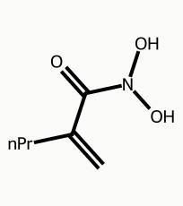 C=C(CCC)C(=O)N(O)O